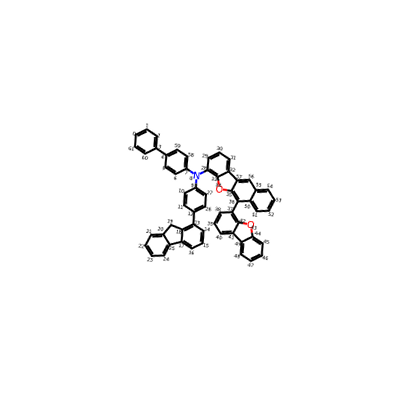 c1ccc(-c2ccc(N(c3ccc(-c4cccc5c4Cc4ccccc4-5)cc3)c3cccc4c3oc3c(-c5cccc6c5oc5ccccc56)c5ccccc5cc34)cc2)cc1